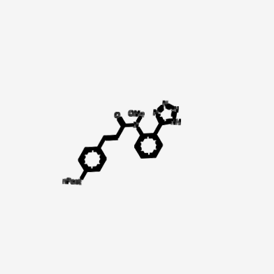 CCCCCc1ccc(C=CC(=O)N(OC)c2ccccc2-c2nnn[nH]2)cc1